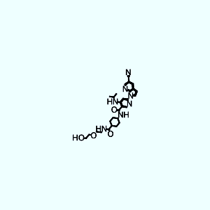 CC(C)Nc1cc(-n2ccc3cc(C#N)cnc32)ncc1C(=O)NC1CCC(C(=O)NCCOCCO)CC1